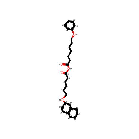 O=C(CCCCCCOc1ccccc1)OC(=O)CCCCCOc1ccc2ccccc2c1